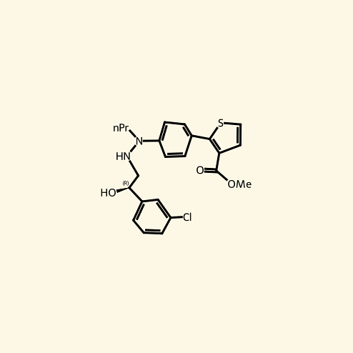 CCCN(NC[C@H](O)c1cccc(Cl)c1)c1ccc(-c2sccc2C(=O)OC)cc1